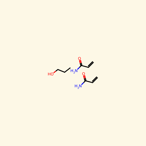 C=CC(N)=O.C=CC(N)=O.CCCO